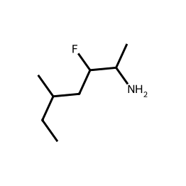 CCC(C)CC(F)C(C)N